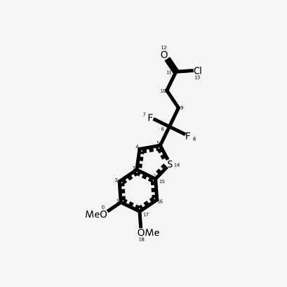 COc1cc2cc(C(F)(F)CCC(=O)Cl)sc2cc1OC